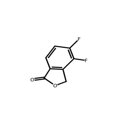 O=C1OCc2c1ccc(F)c2F